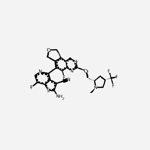 CN1C[C@@H](C(F)(F)F)C[C@H]1COc1ncc2c3c(c(-c4ncc(F)c5sc(N)c(C#N)c45)c(F)c2n1)COC3